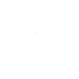 CC(C)(C)OC(=O)N1CCN(c2ccc(COCC(F)(F)F)cc2F)CC1